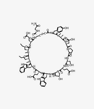 CCCC[C@H]1C(=O)N(C)[C@@H](CCCC)C(=O)N[C@@H](CCC(=O)O)C(=O)N[C@H](C(=O)NCC(N)=O)CSCC(=O)N[C@@H](Cc2ccc(O)cc2)C(=O)N(C)[C@@H](C)C(=O)N[C@@H](CC(=O)O)C(=O)N2CCC[C@H]2C(=O)N[C@@H](CO)C(=O)N[C@@H](CCC(=O)O)C(=O)N2C[C@H](O)C[C@H]2C(=O)N[C@@H](Cc2c[nH]c3ccccc23)C(=O)N[C@@H](CCC(=O)O)C(=O)N[C@@H](Cc2c[nH]c3ccccc23)C(=O)N1C